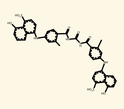 Cc1cc(Nc2ccc(S(=O)(=O)O)c3c(O)cccc23)ccc1C(=O)NC(=O)NC(=O)c1ccc(Nc2ccc(S(=O)(=O)O)c3c(O)cccc23)cc1C